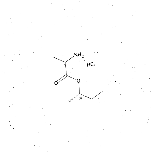 CC[C@H](C)OC(=O)C(C)N.Cl